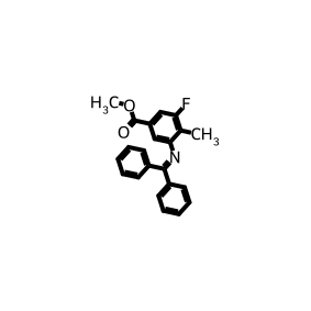 COC(=O)c1cc(F)c(C)c(N=C(c2ccccc2)c2ccccc2)c1